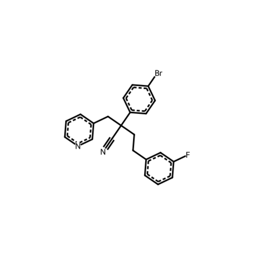 N#CC(CCc1cccc(F)c1)(Cc1cccnc1)c1ccc(Br)cc1